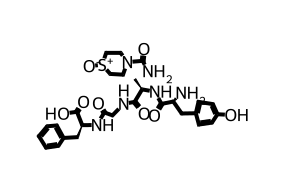 C[C@@H](NC(=O)[C@@H](N)Cc1ccc(O)cc1)C(=O)NCC(=O)N[C@@H](Cc1ccccc1)C(=O)O.NC(=O)N1CC[S+]([O-])CC1